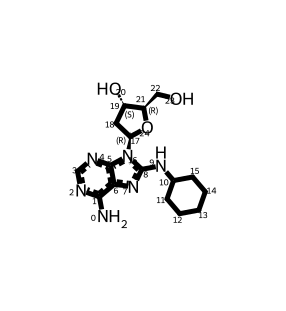 Nc1ncnc2c1nc(NC1CCCCC1)n2[C@H]1C[C@H](O)[C@@H](CO)O1